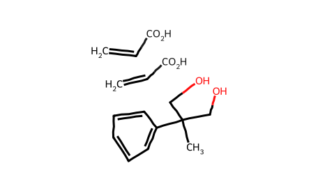 C=CC(=O)O.C=CC(=O)O.CC(CO)(CO)c1ccccc1